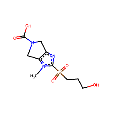 Cn1c(S(=O)(=O)CCCO)nc2c1CN(C(=O)O)C2